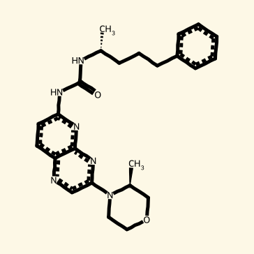 C[C@H](CCCc1ccccc1)NC(=O)Nc1ccc2ncc(N3CCOC[C@@H]3C)nc2n1